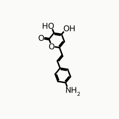 Nc1ccc(/C=C/c2cc(O)c(O)c(=O)o2)cc1